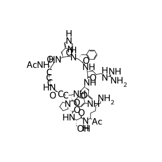 CC(=O)N[C@H]1CCCNC(=O)CC[C@@H](C(=O)N2CCC[C@H]2C(=O)N[C@@H](CO)C(=O)N[C@@H](CCCCN)C(C)=O)NC(=O)[C@H](Cc2c[nH]c3ccccc23)NC(=O)[C@H](CCCNC(=N)N)NC(=O)[C@@H](Cc2ccccc2)NC(=O)[C@H](Cc2c[nH]cn2)NC1=O